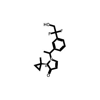 CC(c1cccc(C(F)(F)CO)c1)N1C=CC(=O)[C@H]1C1(C)CC1